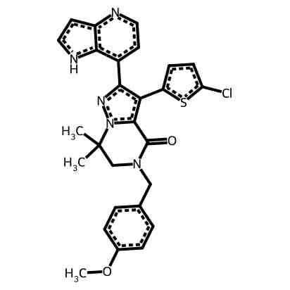 COc1ccc(CN2CC(C)(C)n3nc(-c4ccnc5cc[nH]c45)c(-c4ccc(Cl)s4)c3C2=O)cc1